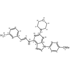 COc1ccc(-n2cnc3c(NN=Cc4cccc(C)c4)nc(N4CCOCC4)nc32)cc1